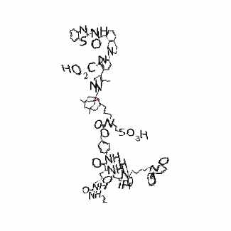 Cc1c(-c2ccc(N3CCc4cccc(C(=O)Nc5nc6ccccc6s5)c4C3)nc2C(=O)O)cnn1CC12CC3(C)CC(C)(CC(CCCN(CCS(=O)(=O)O)C(=O)OCc4ccc(NC(=O)[C@H](CCCNC(N)=O)NC(=O)[C@@H](NC(=O)CCCCCN5C(=O)C=CC5=O)C(C)C)cc4)(C3)C1)C2